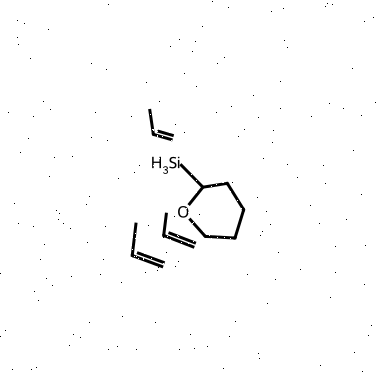 C=CC.C=CC.C=CC.[SiH3]C1CCCCO1